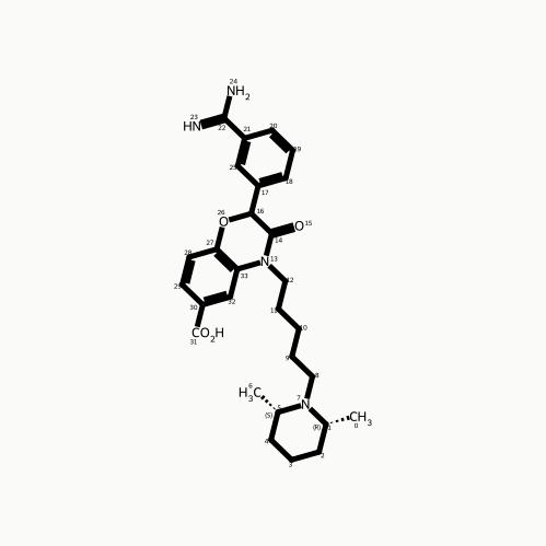 C[C@@H]1CCC[C@H](C)N1CCCCCN1C(=O)C(c2cccc(C(=N)N)c2)Oc2ccc(C(=O)O)cc21